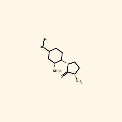 CC(=O)N[C@@H]1CC(NC(C)C)CC[C@@H]1N1CC[C@H](N)C1=O